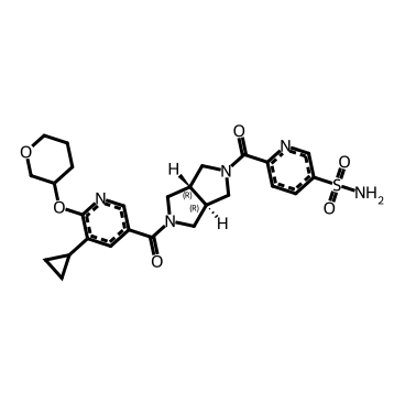 NS(=O)(=O)c1ccc(C(=O)N2C[C@H]3CN(C(=O)c4cnc(OC5CCCOC5)c(C5CC5)c4)C[C@@H]3C2)nc1